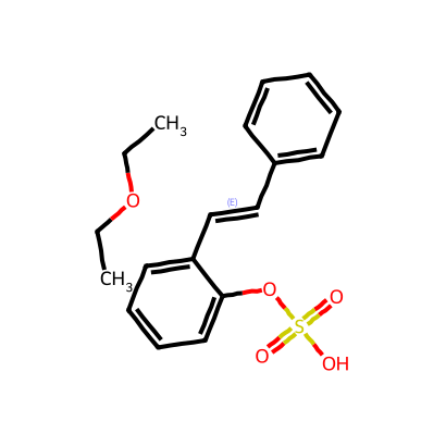 CCOCC.O=S(=O)(O)Oc1ccccc1/C=C/c1ccccc1